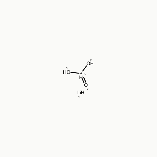 O=[PH](O)O.[LiH]